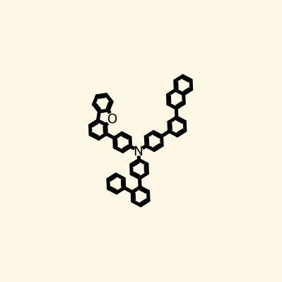 c1ccc(-c2ccccc2-c2ccc(N(c3ccc(-c4cccc(-c5ccc6ccccc6c5)c4)cc3)c3ccc(-c4cccc5c4oc4ccccc45)cc3)cc2)cc1